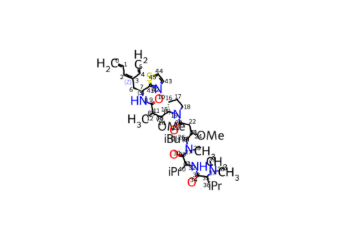 C=C/C=C(\C=C)C[C@H](NC(=O)[C@H](C)[C@@H](OC)[C@@H]1CCCN1C(=O)C[C@@H](OC)[C@H]([C@@H](C)CC)N(C)C(=O)[C@@H](NC(=O)C(C(C)C)N(C)C)C(C)C)c1nccs1